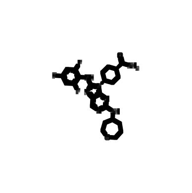 NC(=O)[C@H]1CC[C@H](n2c(Nc3c(F)cc(F)cc3F)nc3cnc(NC4CCCOCC4)nc32)CC1